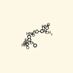 CN(c1ccc(C2CCN(CC(=O)Nc3ccc4c(F)c(N5CC(=O)NS5(=O)=O)c(OCc5ccccc5)cc4c3)CC2)cc1)C1CCC(=O)NC1=O